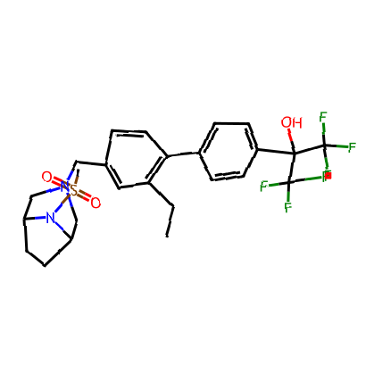 CCc1cc(CN2CC3CCC(C2)N3S(C)(=O)=O)ccc1-c1ccc(C(O)(C(F)(F)F)C(F)(F)F)cc1